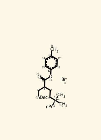 CCCCCCCCCCCC(CC[N+](C)(C)CCC)C(=O)Oc1ccc(C)cc1.[Br-]